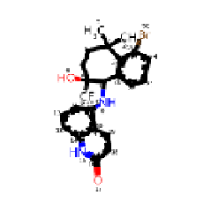 CC1(C)CCC(O)(C(F)(F)F)C(Nc2cccc3[nH]c(=O)ccc23)c2cccc(Br)c21